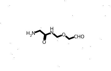 NCC(=O)NCOCC=O